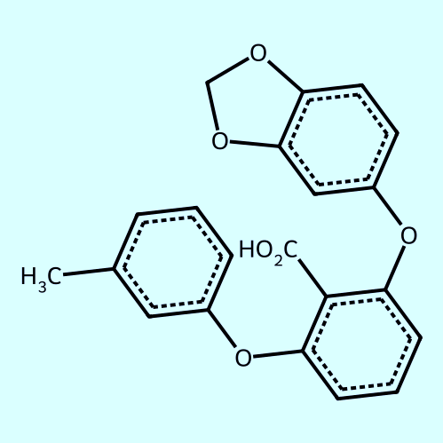 Cc1cccc(Oc2cccc(Oc3ccc4c(c3)OCO4)c2C(=O)O)c1